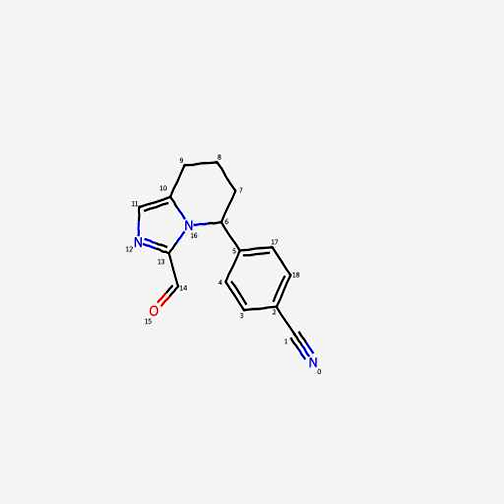 N#Cc1ccc(C2CCCc3cnc(C=O)n32)cc1